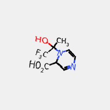 CC(O)(N1C=CN=CC1C(=O)O)C(F)(F)F